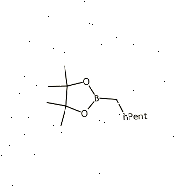 CCCCCCB1OC(C)(C)C(C)(C)O1